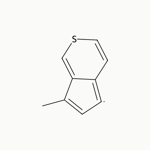 Cc1c[c]c2ccscc1-2